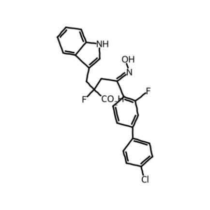 O=C(O)C(F)(C/C(=N\O)c1ccc(-c2ccc(Cl)cc2)cc1F)Cc1c[nH]c2ccccc12